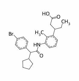 CCC(CC(=O)O)c1cccc(NC(=O)C(c2ccc(Br)cc2)C2CCCC2)c1C